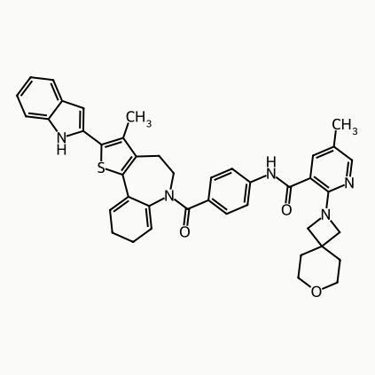 Cc1cnc(N2CC3(CCOCC3)C2)c(C(=O)Nc2ccc(C(=O)N3CCc4c(sc(-c5cc6ccccc6[nH]5)c4C)C4=CCCC=C43)cc2)c1